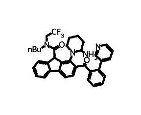 CCCCN(CC(F)(F)F)C(=O)C1c2ccccc2-c2ccc(C(=O)c3ccccc3-c3cccnc3)c(N3CCCCC3N)c21